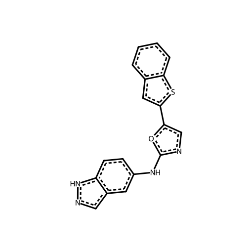 c1ccc2sc(-c3cnc(Nc4ccc5[nH]ncc5c4)o3)cc2c1